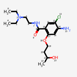 CCN(CC)CCNC(=O)c1cc(Cl)c(N)cc1OCCC(C)O